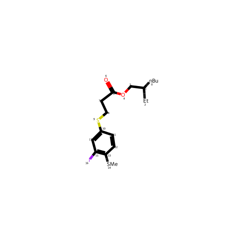 CCCCC(CC)COC(=O)CCSc1ccc(SC)c(I)c1